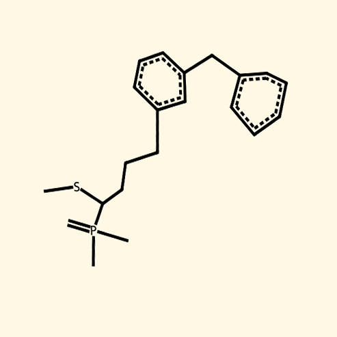 C=P(C)(C)C(CCCc1cccc(Cc2ccccc2)c1)SC